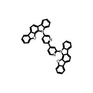 c1ccc2c(c1)oc1c2ccc2c3ccccc3n(-c3ccc(-c4ccnc(-n5c6ccccc6c6ccc7c8ccccc8oc7c65)c4)nc3)c21